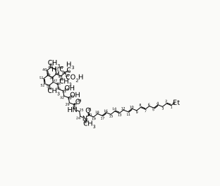 CCC=CCC=CCC=CCC=CCC=CCC=CCCC(=O)N(C)CCNC(=O)C[C@H](O)C[C@@H](O)CC[C@@H]1C2C(=CC(C)CC2[C@@H](C)C(C)(C)C(=O)O)C=C[C@@H]1C